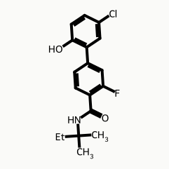 CCC(C)(C)NC(=O)c1ccc(-c2cc(Cl)ccc2O)cc1F